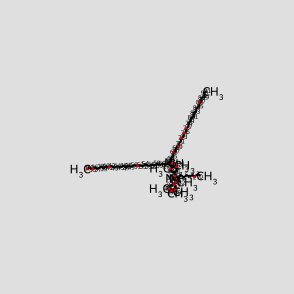 CCCCCCCCC1=C(c2cc(C)c(C)c(C)c2)[N+](=[N-])C(c2cc(C)c(C)c(C)c2)=C1C.CCCCCCCCCCCCCCCCCCCCCCCCCCCC[CH2][Ni][CH2]CCCCCCCCCCCCCCCCCCCCCCCCCCCC